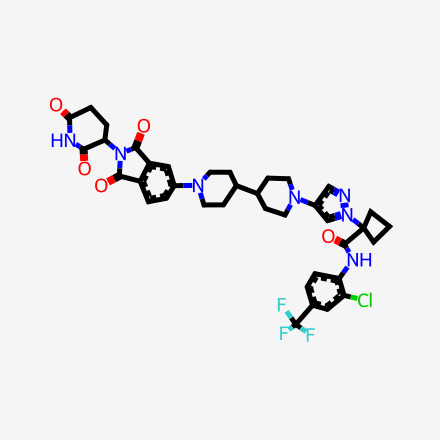 O=C1CCC(N2C(=O)c3ccc(N4CCC(C5CCN(c6cnn(C7(C(=O)Nc8ccc(C(F)(F)F)cc8Cl)CCC7)c6)CC5)CC4)cc3C2=O)C(=O)N1